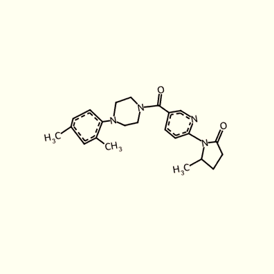 Cc1ccc(N2CCN(C(=O)c3ccc(N4C(=O)CCC4C)nc3)CC2)c(C)c1